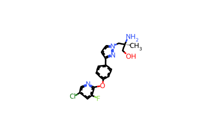 C[C@](N)(CO)Cn1ccc(-c2ccc(Oc3ncc(Cl)cc3F)cc2)n1